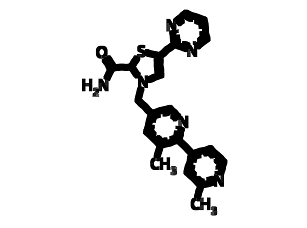 Cc1cc(-c2ncc(CN3C=C(c4ncccn4)SC3C(N)=O)cc2C)ccn1